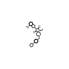 CCN1C(=O)N(C2Cc3cccc(OC)c3C2)C(=O)C12CCN(Cc1ccc(N3CCCC3)cc1)CC2